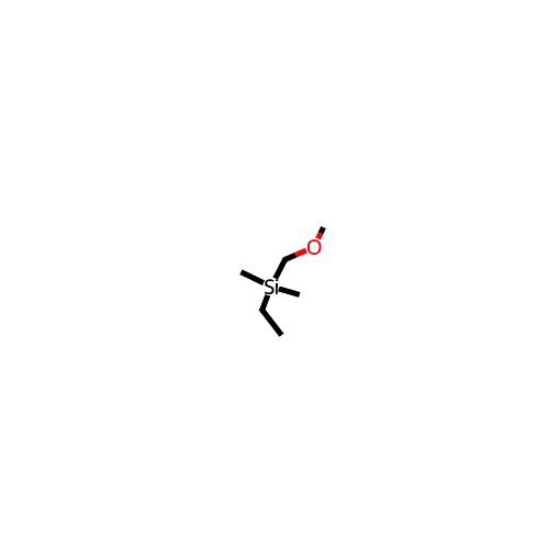 CC[Si](C)(C)COC